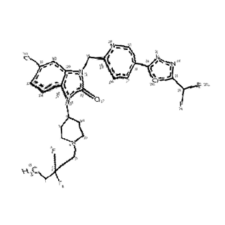 CCC(F)(F)CN1CCC(n2c(=O)n(Cc3ccc(-c4nnc(C(F)F)o4)cn3)c3cc(Cl)ccc32)CC1